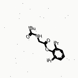 CC(C)c1cccc(C(C)C)c1OC(=O)CNC(=O)C(C)(C)C